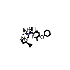 Cc1nc(/C(N)=C(\Cn2nncc2C2CC2)N(C)N)ccc1OC1CCCCC1